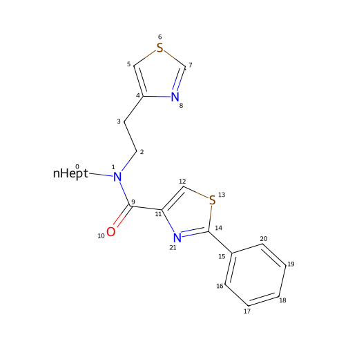 CCCCCCCN(CCc1cs[c]n1)C(=O)c1csc(-c2ccccc2)n1